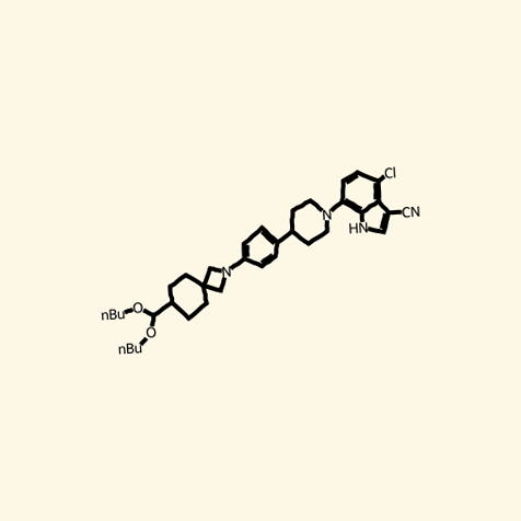 CCCCOC(OCCCC)C1CCC2(CC1)CN(c1ccc(C3CCN(c4ccc(Cl)c5c(C#N)c[nH]c45)CC3)cc1)C2